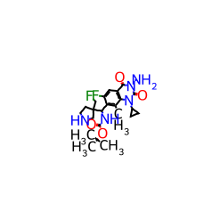 Cc1c(C(NC(=O)OC(C)(C)C)C2(CF)CCNC2)c(F)cc2c(=O)n(N)c(=O)n(C3CC3)c12